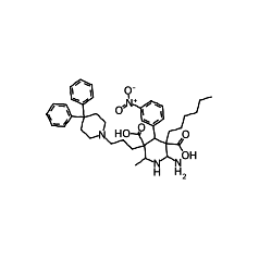 CCCCCCC1(C(=O)O)C(N)NC(C)C(CCCN2CCC(c3ccccc3)(c3ccccc3)CC2)(C(=O)O)C1c1cccc([N+](=O)[O-])c1